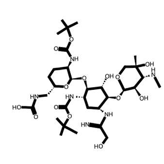 CN[C@@H]1[C@@H](O)[C@@H](O[C@@H]2[C@@H](O)[C@H](O[C@H]3O[C@H](CNC(=O)O)CC[C@H]3NC(=O)OC(C)(C)C)[C@@H](NC(=O)OC(C)(C)C)C[C@H]2NC(=N)CO)OC[C@]1(C)O